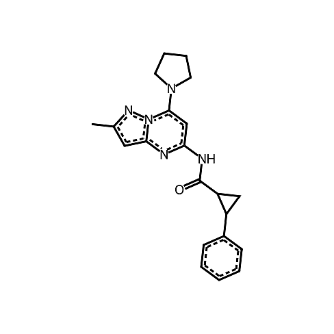 Cc1cc2nc(NC(=O)C3CC3c3ccccc3)cc(N3CCCC3)n2n1